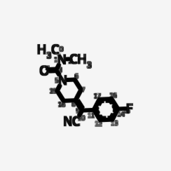 CN(C)C(=O)N1CCC(=C(C#N)c2ccc(F)cc2)CC1